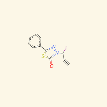 C#CC(I)n1nc(-c2ccccc2)sc1=O